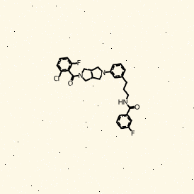 O=C(NCCCc1cccc(N2CC3CN(C(=O)c4c(F)cccc4Cl)CC3C2)c1)c1cccc(F)c1